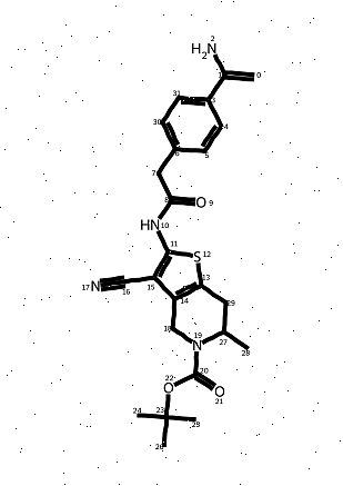 C=C(N)c1ccc(CC(=O)Nc2sc3c(c2C#N)CN(C(=O)OC(C)(C)C)C(C)C3)cc1